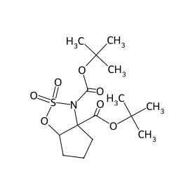 CC(C)(C)OC(=O)N1C2(C(=O)OC(C)(C)C)CCCC2OS1(=O)=O